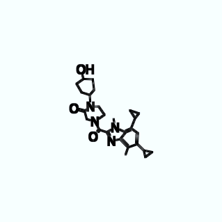 Cc1c(C2CC2)cc(C2CC2)c2c1nc(C(=O)N1CCN(C3CCC(O)CC3)C(=O)C1)n2C